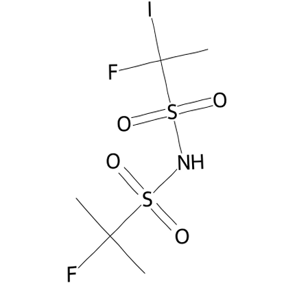 CC(C)(F)S(=O)(=O)NS(=O)(=O)C(C)(F)I